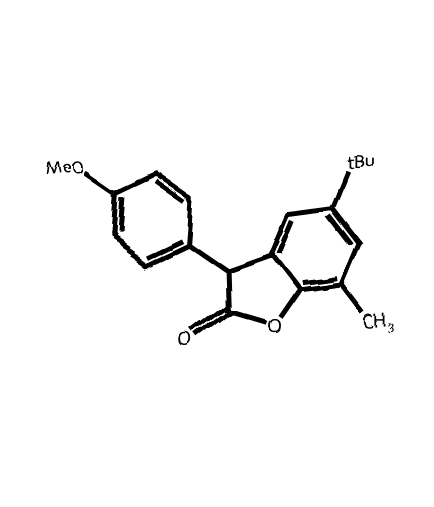 COc1ccc(C2C(=O)Oc3c(C)cc(C(C)(C)C)cc32)cc1